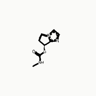 CNC(=O)O[C@H]1CCn2ccnc21